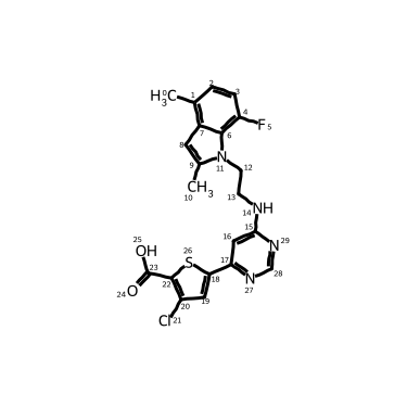 Cc1ccc(F)c2c1cc(C)n2CCNc1cc(-c2cc(Cl)c(C(=O)O)s2)ncn1